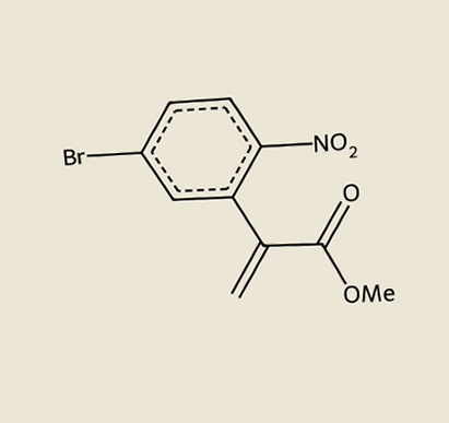 C=C(C(=O)OC)c1cc(Br)ccc1[N+](=O)[O-]